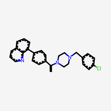 C=C(c1ccc(-c2cccc3cccnc23)cc1)N1CCN(Cc2ccc(Cl)cc2)CC1